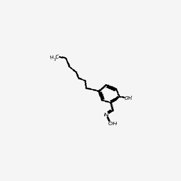 CCCCCCCc1ccc(O)c(C=NO)c1